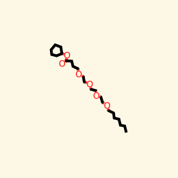 CCCCCCCOCCOCCOCCOCCCC(=O)OC1CCCCC1